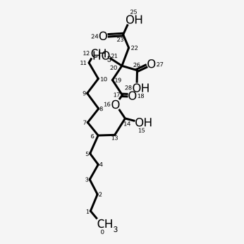 CCCCCCC(CCCCCC)CC(O)OC(=O)CC(O)(CC(=O)O)C(=O)O